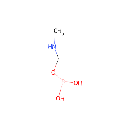 CNCOB(O)O